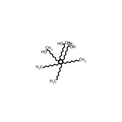 CCCCCCCCc1c(CCCCCCCC)c(CCCCCCC(C)O)c(CCCCCCC(C)O)c(CCCCCCC(C)O)c1CCCCCCCC